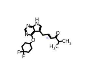 CC(C)C(=O)/C=C/Cc1c[nH]c2ncnc(OC3CCC(F)(F)CC3)c12